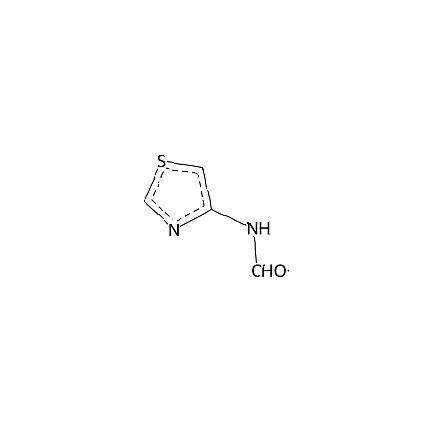 O=[C]Nc1cscn1